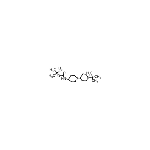 CC(C)(C)OC(=O)NC1CCN(C2CCN(C(C)(C)C)CC2)CC1